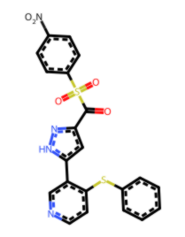 O=C(c1cc(-c2cnccc2Sc2ccccc2)[nH]n1)S(=O)(=O)c1ccc([N+](=O)[O-])cc1